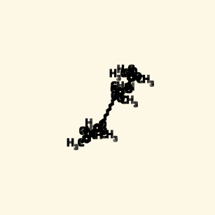 COc1cc(C2NC(=O)c3cc(C)ccc3N2)ccc1OCCCCCCCCCCOc1c(OC)cc(C2CC(c3cc(OC)c(OC)c(OC)c3)=NO2)cc1OC